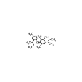 CCC(C)c1cc(C)cc(C(C)c2cc(C)cc(C(C)CC)c2O)c1O